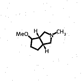 COC1CC[C@H]2CN(C)C[C@@H]12